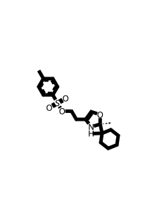 Cc1ccc(S(=O)(=O)OCCC2=CO[C@@](C)(C3(C)CCCCC3)N2)cc1